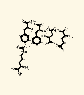 CC(C)CC(N)C(=O)O.N=C(N)NCCCC(N)C(=O)O.NC(=O)CCC(N)C(=O)O.NC(Cc1ccccc1)C(=O)O.NC(Cc1ccccc1)C(=O)O